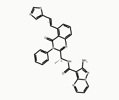 C[C@@H](NC(=O)c1c(N)nn2cccnc12)c1nc2cccc(/C=C/c3cncs3)c2c(=O)n1-c1ccccc1